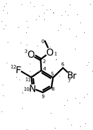 COC(=O)c1c(CBr)ccnc1F